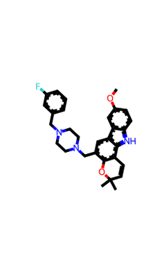 COc1ccc2[nH]c3c4c(c(CN5CCN(Cc6cccc(F)c6)CC5)cc3c2c1)OC(C)(C)C=C4